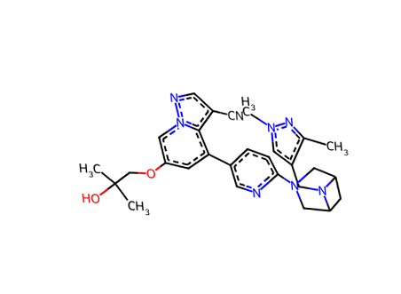 Cc1nn(C)cc1CN1C2CC1CN(c1ccc(-c3cc(OCC(C)(C)O)cn4ncc(C#N)c34)cn1)C2